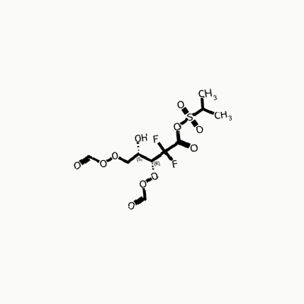 CC(C)S(=O)(=O)OC(=O)C(F)(F)[C@H](OOC=O)[C@@H](O)COOC=O